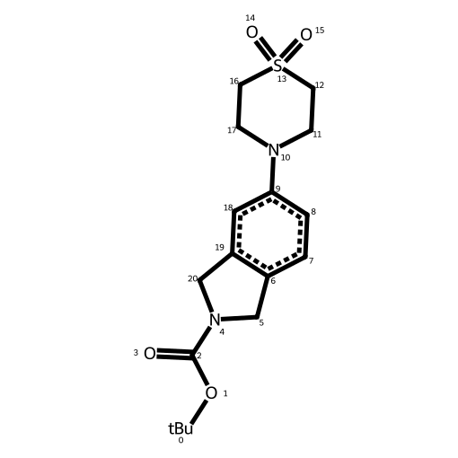 CC(C)(C)OC(=O)N1Cc2ccc(N3CCS(=O)(=O)CC3)cc2C1